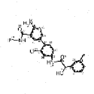 Cc1cccc(C(O)C(=O)Nc2ccc(-c3cnc(N)c(C(=O)NC(C)C)c3)c(Cl)c2)c1